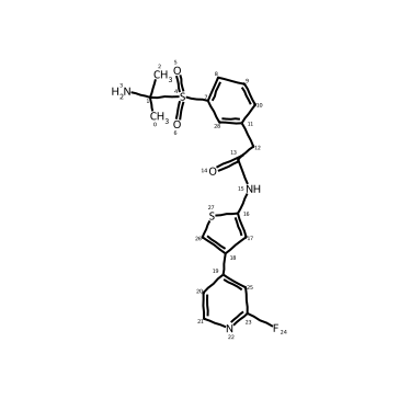 CC(C)(N)S(=O)(=O)c1cccc(CC(=O)Nc2cc(-c3ccnc(F)c3)cs2)c1